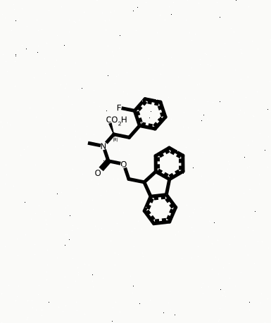 CN(C(=O)OCC1c2ccccc2-c2ccccc21)[C@H](Cc1ccccc1F)C(=O)O